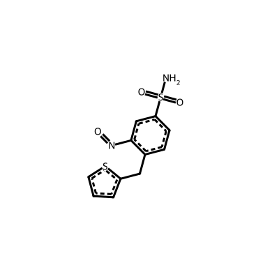 NS(=O)(=O)c1ccc(Cc2cccs2)c(N=O)c1